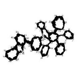 c1ccc(-c2c(-c3ccccc3)c(-c3ccccc3)c3c(c2-c2ccccc2)c2ccccc2n3-c2cccc(-c3cccc4c3sc3ccccc34)c2)cc1